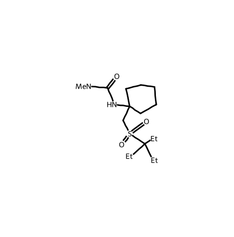 CCC(CC)(CC)S(=O)(=O)CC1(NC(=O)NC)CCCCC1